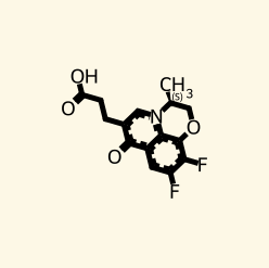 C[C@H]1COc2c(F)c(F)cc3c(=O)c(CCC(=O)O)cn1c23